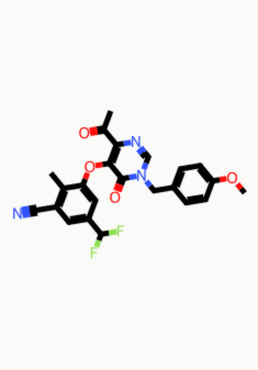 COc1ccc(Cn2cnc(C(C)=O)c(Oc3cc(C(F)F)cc(C#N)c3C)c2=O)cc1